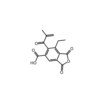 C=C(C)C(=O)c1c(C(=O)O)cc2c(c1CC)C(=O)OC2=O